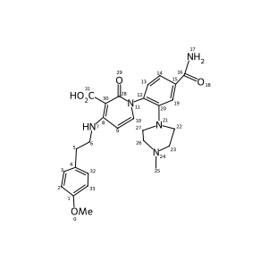 COc1ccc(CCNc2ccn(-c3ccc(C(N)=O)cc3N3CCN(C)CC3)c(=O)c2C(=O)O)cc1